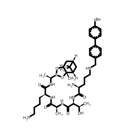 CCCCc1ccc(-c2ccc(CNCCC[C@H](N)C(=O)N[C@H](C(=O)N[C@@H](C)C(=O)N[C@@H](CCCCN)C(=O)N[C@@H](C)B3OC4C[C@@H]5C[C@@H](C5(C)C)[C@]4(C)O3)[C@@H](C)O)cc2)cc1